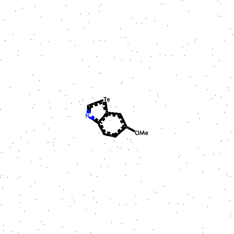 COc1ccc2nc[te]c2c1